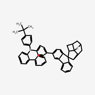 CC(C)(C)c1ccc(N(c2ccc(-c3ccc4c(c3)-c3ccccc3C43C4CC5CC6CC3C6(C5)C4)cc2)c2ccccc2-c2ccccc2)cc1